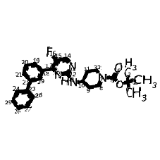 CC(C)(C)OC(=O)N1CCC(Nc2ncc(F)c(-c3cccc(-c4ccccc4)c3)n2)CC1